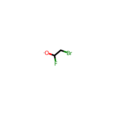 [O]C(F)CBr